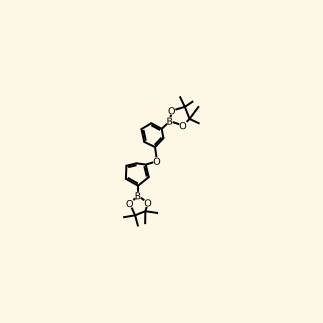 CC1(C)OB(c2cccc(Oc3cccc(B4OC(C)(C)C(C)(C)O4)c3)c2)OC1(C)C